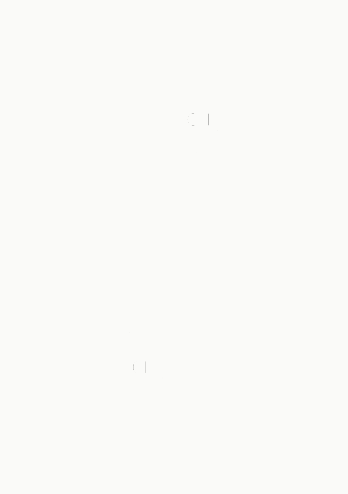 CC=C[CH]CC=CCCC